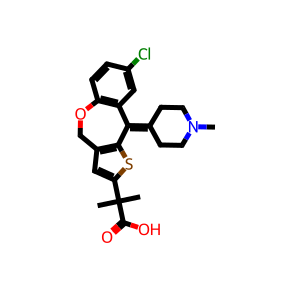 CN1CCC(=C2c3cc(Cl)ccc3OCc3cc(C(C)(C)C(=O)O)sc32)CC1